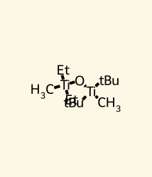 C[CH2][Ti]([CH3])([CH2]C)[O][Ti]([CH3])([C](C)(C)C)[C](C)(C)C